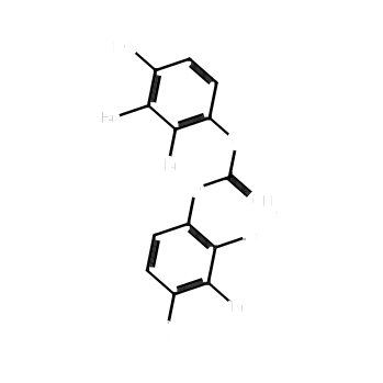 C=C(Oc1ccc(C)c(Br)c1Br)Oc1ccc(C)c(Br)c1Br